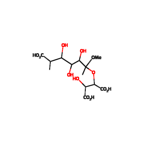 COC(C)(OC(C(=O)O)C(O)C(=O)O)C(O)C(O)C(O)C(C)C(=O)O